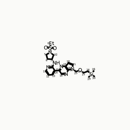 CCS(=O)(=O)N1CC[C@@H](Nc2ncccc2-c2cnc3c(ccn3COCC[Si](C)(C)C)n2)C1